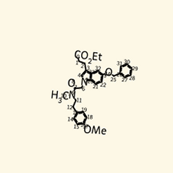 CCOC(=O)CCc1cn(CC(=O)N(C)CCc2ccc(OC)cc2)c2ccc(OCc3ccccc3)cc12